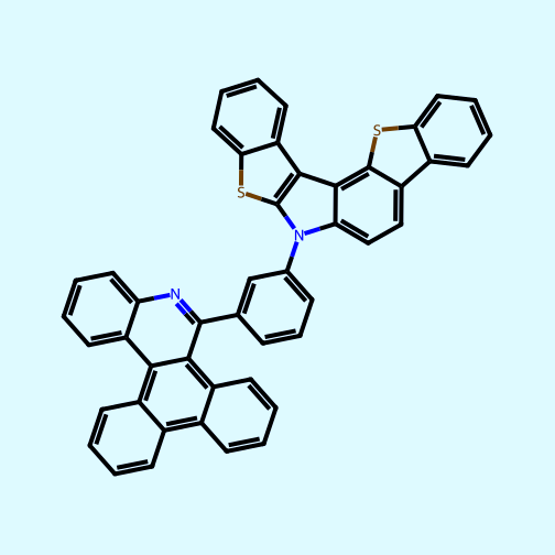 c1cc(-c2nc3ccccc3c3c4ccccc4c4ccccc4c23)cc(-n2c3ccc4c5ccccc5sc4c3c3c4ccccc4sc32)c1